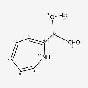 CCOC(C=O)C1=CC=CC=CN1